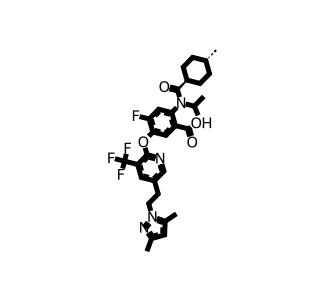 Cc1cc(C)n(CCc2cnc(Oc3cc(C(=O)O)c(N(C(=O)[C@H]4CC[C@H](C)CC4)C(C)C)cc3F)c(C(F)(F)F)c2)n1